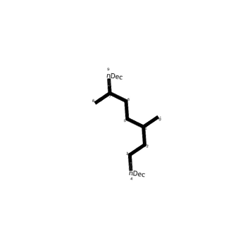 [CH2]C(CCCCCCCCCCCC)CCC(C)CCCCCCCCCC